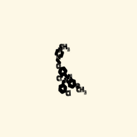 COc1ccc2c(c1)nc(-c1ccc(OCCN3CCN(C)CC3)cc1Cl)n2Cc1cccc(Cl)c1